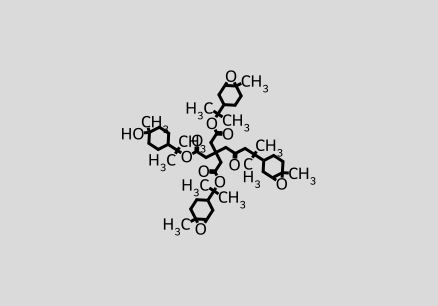 CC1(O)CCC(C(C)(C)OC(=O)CC(CC(=O)CC(C)(C)C2CCC3(C)OC3C2)(CC(=O)OC(C)(C)C2CCC3(C)OC3C2)CC(=O)OC(C)(C)C2CCC3(C)OC3C2)CC1